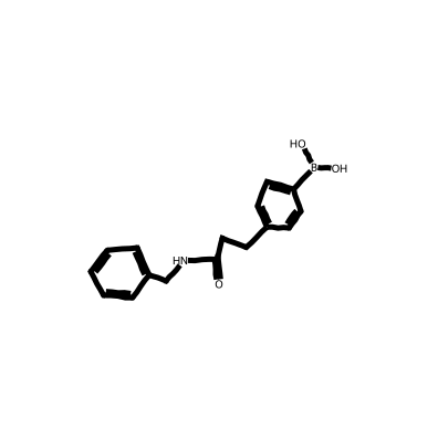 O=C(CCc1ccc(B(O)O)cc1)NCc1ccccc1